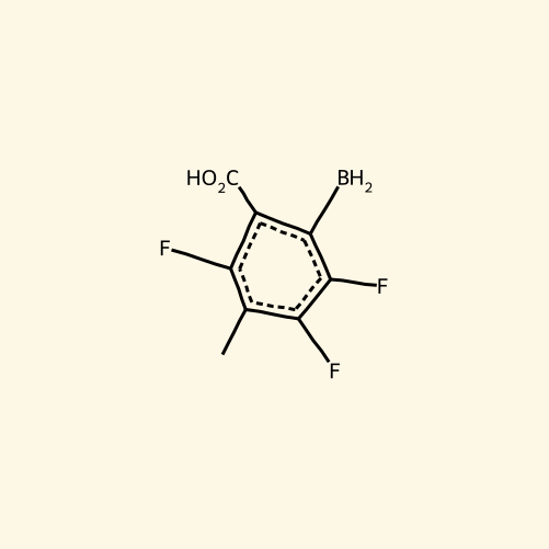 Bc1c(F)c(F)c(C)c(F)c1C(=O)O